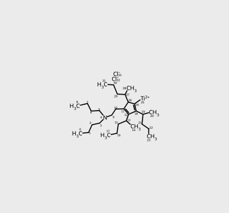 CCCCN(CCCC)CCC1=C(C(C)CCC)C(C(C)CCC)=[C]([Ti+2])C1C(C)CCC.[Cl-].[Cl-]